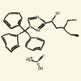 CCC(CC)CC(S)c1ncn(C(c2ccccc2)(c2ccccc2)c2ccccc2)n1.O=[PH](O)O